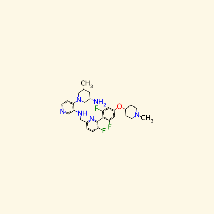 C[C@@H]1C[C@H](N)CN(c2ccncc2NCc2ccc(F)c(-c3c(F)cc(OC4CCN(C)CC4)cc3F)n2)C1